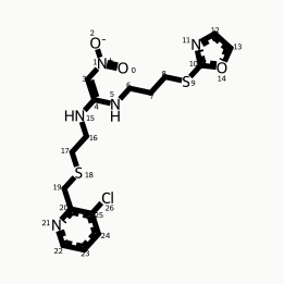 O=[N+]([O-])C=C(NCCCSc1ncco1)NCCSCc1ncccc1Cl